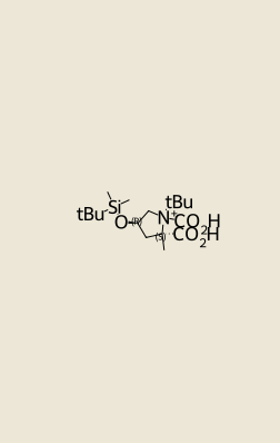 CC(C)(C)[N+]1(C(=O)O)C[C@H](O[Si](C)(C)C(C)(C)C)C[C@@]1(C)C(=O)O